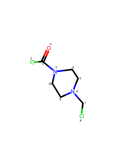 O=C(Cl)N1CCN(CCl)CC1